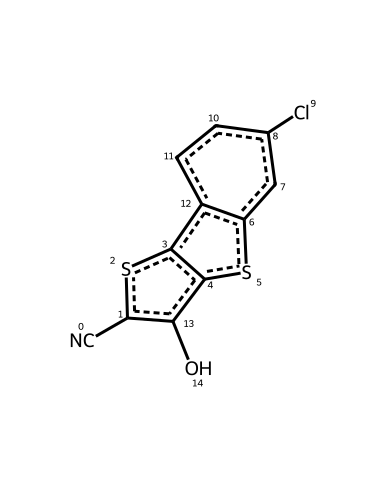 N#Cc1sc2c(sc3cc(Cl)ccc32)c1O